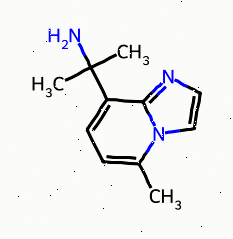 Cc1ccc(C(C)(C)N)c2nccn12